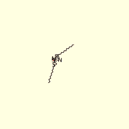 CCCCCCCCCCCCSSc1nsc(SSCCCCCCCCCCCC)c1C#N